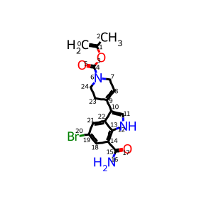 C=C(C)OC(=O)N1CC=C(c2c[nH]c3c(C(N)=O)cc(Br)cc23)CC1